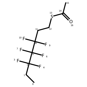 CCC(F)(F)C(F)(F)C(F)(F)CCSC(C)=O